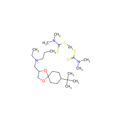 CCCN(CC)CC1COC2(CCC(C(C)(C)C)CC2)O1.CN(C)C(=S)[S][Zn][S]C(=S)N(C)C